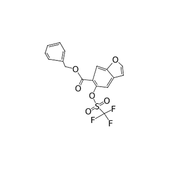 O=C(OCc1ccccc1)c1cc2occc2cc1OS(=O)(=O)C(F)(F)F